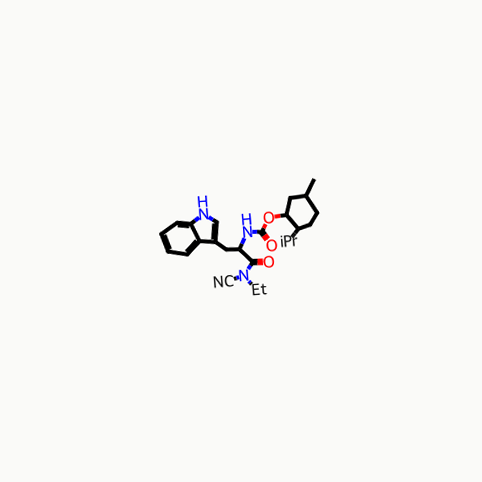 CCN(C#N)C(=O)C(Cc1c[nH]c2ccccc12)NC(=O)OC1CC(C)CCC1C(C)C